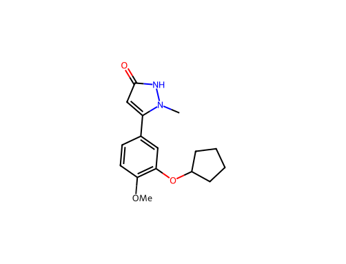 COc1ccc(-c2cc(=O)[nH]n2C)cc1OC1CCCC1